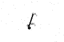 CCCCCCCCCCCC(N)CCC(=O)c1ccccc1